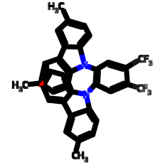 Cc1ccc2c(c1)c1ccccc1n2-c1cc(C(F)(F)F)c(C(F)(F)F)cc1-n1c2ccc(C)cc2c2cc(C)ccc21